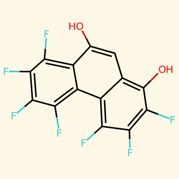 Oc1c(F)c(F)c(F)c2c1cc(O)c1c(F)c(F)c(F)c(F)c12